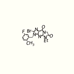 CCN1C(=O)Cn2c1nc1c(nc(Br)n1Cc1cc(F)ccc1C)c2=O